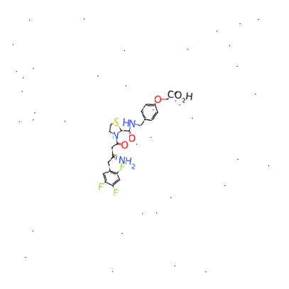 N[C@@H](CC(=O)N1CCSC1C(=O)NCc1ccc(OCC(=O)O)cc1)Cc1cc(F)c(F)cc1F